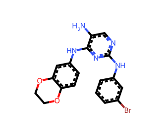 Nc1cnc(Nc2cccc(Br)c2)nc1Nc1ccc2c(c1)OCCO2